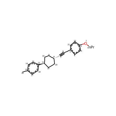 CCCOc1ccc(C#C[C@H]2CC[C@H](c3ccc(C)cc3)CC2)cc1